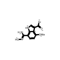 COc1ccc(/C(N)=N/O)c2[nH]cc(C(=O)C(C)=O)c12